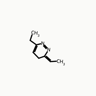 C/C=C1/CC=C(CC)N=N1